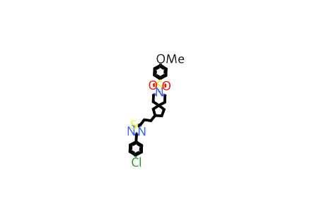 COc1ccc(S(=O)(=O)N2CCC3(CCC(CCc4nc(-c5ccc(Cl)cc5)ns4)C3)CC2)cc1